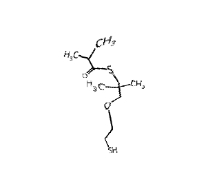 CC(C)C(=O)SC(C)(C)COCCS